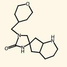 O=C1NC2(CC3CCCNC3C2)CN1CC1CCOCC1